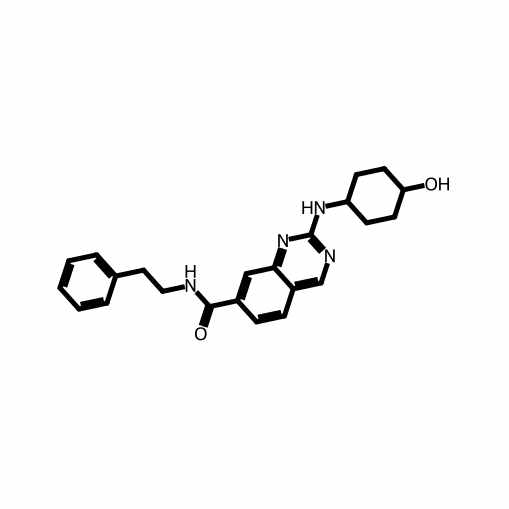 O=C(NCCc1ccccc1)c1ccc2cnc(NC3CCC(O)CC3)nc2c1